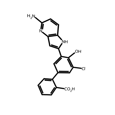 Nc1ccc2[nH]c(-c3cc(-c4ccccc4C(=O)O)cc(Cl)c3O)cc2n1